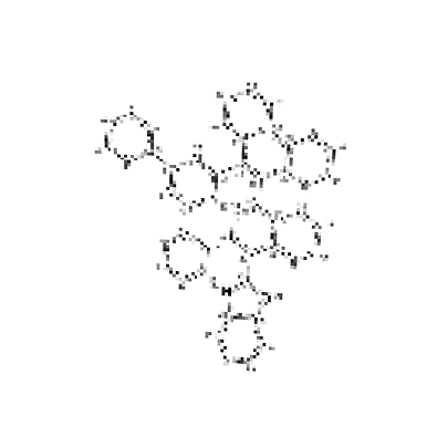 c1ccc(-c2nc(-c3ccccc3)nc(-c3c(-c4ccc(-c5nc6ccccc6o5)c5ccccc45)c4ccccc4c4ccccc34)n2)cc1